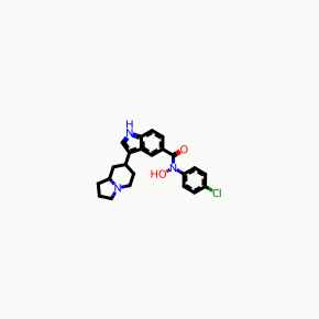 O=C(c1ccc2[nH]cc(C3CCN4CCCC4C3)c2c1)N(O)c1ccc(Cl)cc1